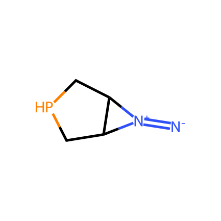 [N-]=[N+]1C2CPCC21